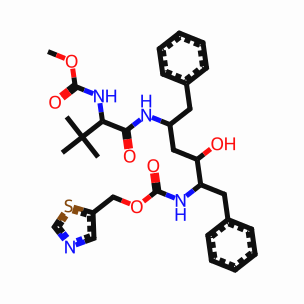 COC(=O)NC(C(=O)NC(Cc1ccccc1)CC(O)C(Cc1ccccc1)NC(=O)OCc1cncs1)C(C)(C)C